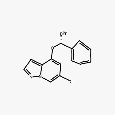 CCC[C@@H](Oc1cc(Cl)cn2nccc12)c1ccccc1